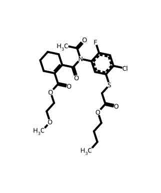 CCCCOC(=O)CSc1cc(N(C(C)=O)C(=O)C2=C(C(=O)OCCOC)CCCC2)c(F)cc1Cl